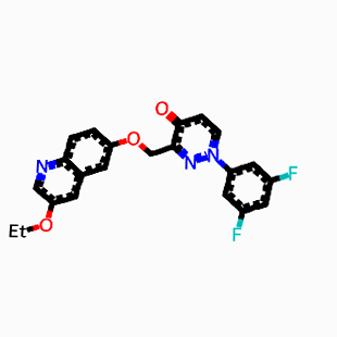 CCOc1cnc2ccc(OCc3nn(-c4cc(F)cc(F)c4)ccc3=O)cc2c1